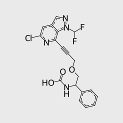 O=C(O)NC(COCC#Cc1nc(Cl)cc2cnn(C(F)F)c12)c1ccccc1